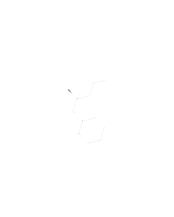 CC(C)C[C@H](C)NC1CCCCC1